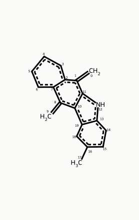 C=c1c2ccccc2c(=C)c2c1[nH]c1ccc(C)cc12